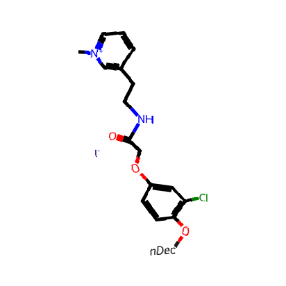 CCCCCCCCCCOc1ccc(OCC(=O)NCCc2ccc[n+](C)c2)cc1Cl.[I-]